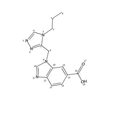 CCCn1cnnc1Cn1cnc2ccc(C(=O)O)cc21